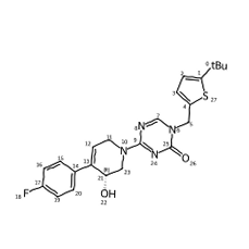 CC(C)(C)c1ccc(Cn2cnc(N3CC=C(c4ccc(F)cc4)[C@@H](O)C3)nc2=O)s1